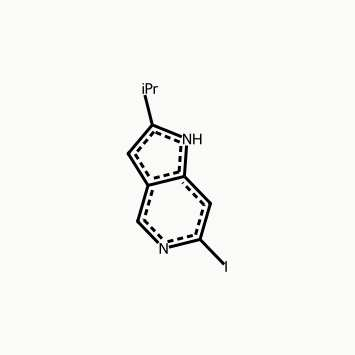 CC(C)c1cc2cnc(I)cc2[nH]1